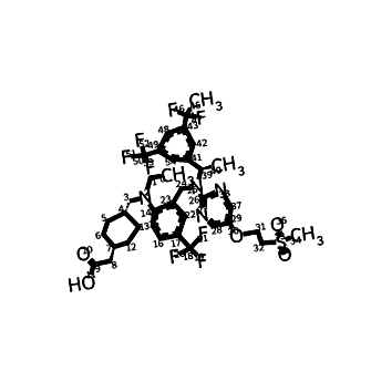 CCN(C[C@H]1CC[C@H](CC(=O)O)CC1)c1ccc(C(F)(F)F)cc1CN(c1ncc(OCCS(C)(=O)=O)cn1)[C@H](C)c1cc(C(C)(F)F)cc(C(F)(F)F)c1